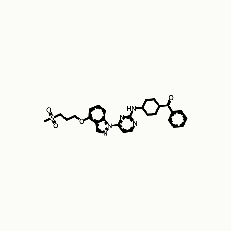 CS(=O)(=O)CCCOc1cccc2c1cnn2-c1ccnc(NC2CCC(C(=O)c3ccccc3)CC2)n1